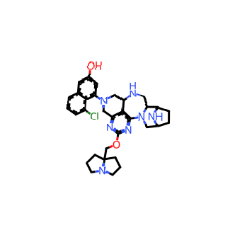 Oc1cc(N2Cc3nc(OCC45CCCN4CCC5)nc4c3C(C2)NCC2C3CCC(CN42)N3)c2c(Cl)cccc2c1